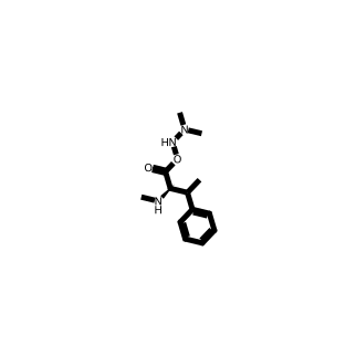 CN[C@@H](C(=O)ONN(C)C)C(C)c1ccccc1